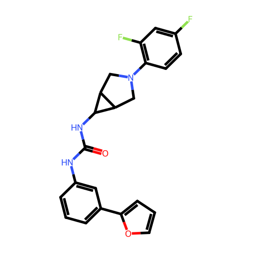 O=C(Nc1cccc(-c2ccco2)c1)NC1C2CN(c3ccc(F)cc3F)CC21